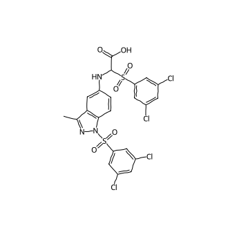 Cc1nn(S(=O)(=O)c2cc(Cl)cc(Cl)c2)c2ccc(NC(C(=O)O)S(=O)(=O)c3cc(Cl)cc(Cl)c3)cc12